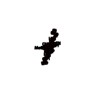 [C-]#[N+]CCO[PH](O)(OC[C@H]1O[C@@H](n2ccc(NC(=O)CCCN(C)C(=O)OCC3c4ccccc4-c4ccccc43)nc2=O)C[C@H]1OP(OCCC#N)N(C(C)C)C(C)C)O[C@@H]1C[C@H](n2cnc3c2NC(NC(=O)CCNC(=O)c2ccc(CNC(=O)OCC4c5ccccc5-c5ccccc54)cc2)NC3=O)O[C@@H]1COC(c1ccccc1)(c1ccc(OC)cc1)c1ccc(OC)cc1